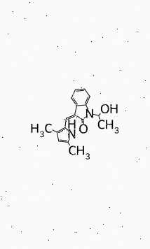 Cc1cc(C)c(/C=C2\C(=O)N(C(C)O)c3ccccc32)[nH]1